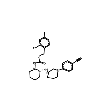 Cc1ccc(COC(=O)N[C@@H]2CCCC[C@H]2N[C@H]2CCCN(c3ccc(C#N)cc3)C2)c(Cl)c1